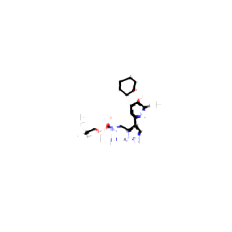 Cc1nc(-c2cnn(C)c2CNC(=O)OCC(C)(C)C)ccc1OC1CCCCC1